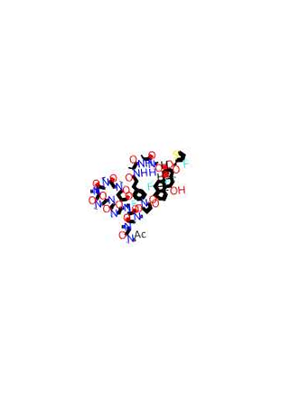 CC(=O)CN(C)C(=O)CN(C)C(=O)CN(C)C(=O)CN(C)C(=O)CN(C)C(=O)CN(C)C(=O)CN(C)C(=O)CN(C)C(=O)CN(C)C(=O)CN(C)C(=O)CCCOc1c(CCC(=O)N[C@@H](C)C(=O)N[C@@H](C)C(=O)NCOCC(=O)[C@@]23O[C@H](c4sccc4F)O[C@@H]2C[C@H]2[C@@H]4C[C@H](F)C5=CC(=O)C=C[C@]5(C)[C@@]4(F)[C@@H](O)C[C@@]23C)ccc(N2C(=O)C=CC2=O)c1F